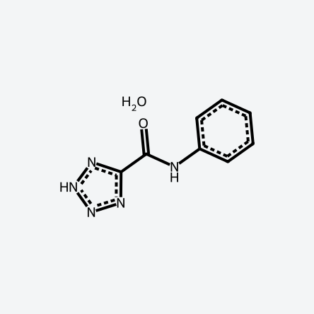 O.O=C(Nc1ccccc1)c1nn[nH]n1